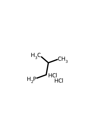 CC(C)CP.Cl.Cl